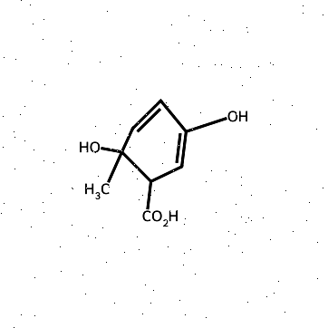 CC1(O)C=CC(O)=CC1C(=O)O